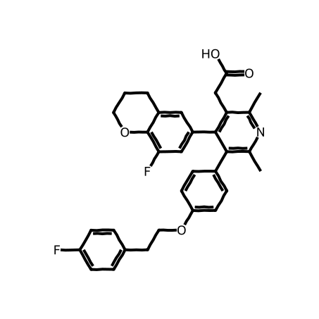 Cc1nc(C)c(-c2ccc(OCCc3ccc(F)cc3)cc2)c(-c2cc(F)c3c(c2)CCCO3)c1CC(=O)O